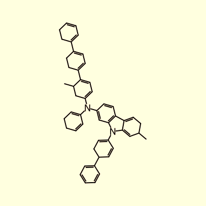 CC1C=c2c(c3ccc(N(C4=CCCC=C4)C4=CC=C(C5=CC=C(C6=CC=CCC6)CC5)C(C)C4)cc3n2C2=CCC(c3ccccc3)C=C2)=CC1